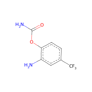 NC(=O)Oc1ccc(C(F)(F)F)cc1N